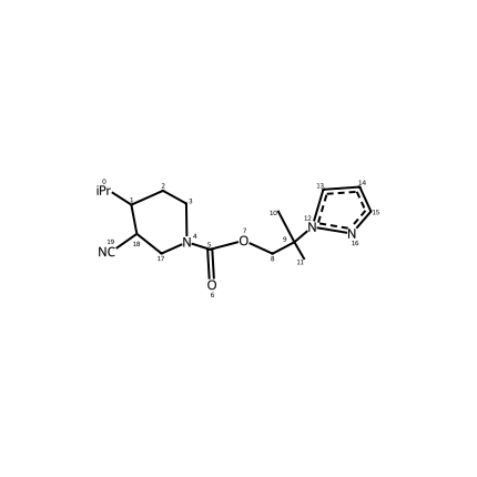 CC(C)C1CCN(C(=O)OCC(C)(C)n2cccn2)CC1C#N